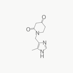 Cc1[nH]cnc1CN1CCC(=O)CC1=O